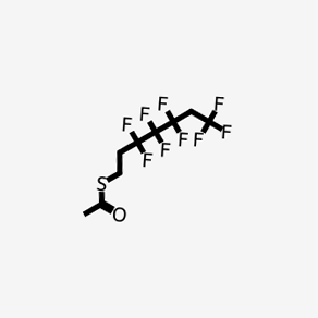 CC(=O)SCCC(F)(F)C(F)(F)C(F)(F)CC(F)(F)F